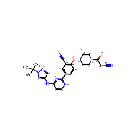 CC(C)(C)n1cc(Nc2ccnc(-c3ccc(O[C@H]4CCN(C(=O)CC#N)C[C@H]4F)c(C#N)c3)n2)cn1